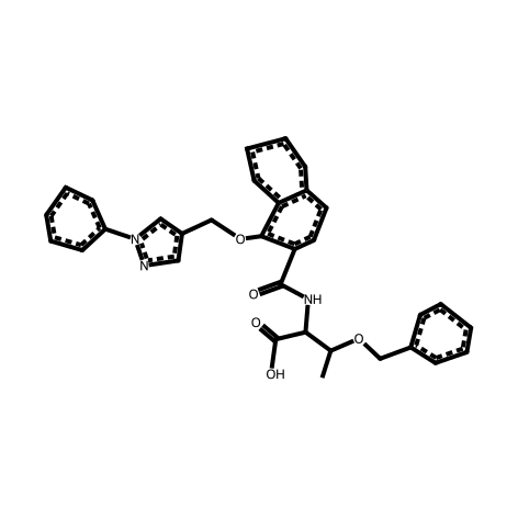 CC(OCc1ccccc1)C(NC(=O)c1ccc2ccccc2c1OCc1cnn(-c2ccccc2)c1)C(=O)O